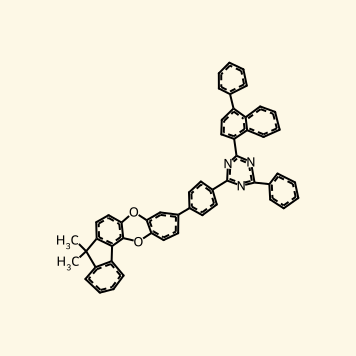 CC1(C)c2ccccc2-c2c1ccc1c2Oc2ccc(-c3ccc(-c4nc(-c5ccccc5)nc(-c5ccc(-c6ccccc6)c6ccccc56)n4)cc3)cc2O1